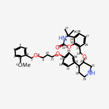 COc1ccccc1COCCCOc1ccc(C2CCNCC2OCc2cccc3c2OC(=O)NC3(C)C)cc1